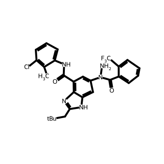 Cc1c(Cl)cccc1NC(=O)c1cc(N(N)C(=O)c2ccccc2C(F)(F)F)cc2[nH]c(CC(C)(C)C)nc12